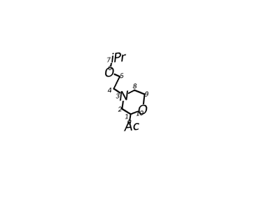 CC(=O)C1CN(CCOC(C)C)CCO1